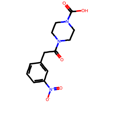 O=C(O)N1CCN(C(=O)Cc2cccc([N+](=O)[O-])c2)CC1